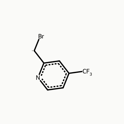 FC(F)(F)c1ccnc([CH]Br)c1